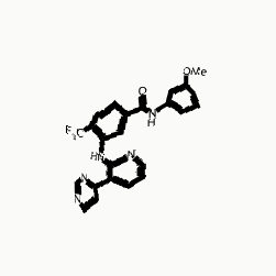 COc1cccc(NC(=O)c2ccc(C(F)(F)F)c(Nc3ncccc3-c3ccncn3)c2)c1